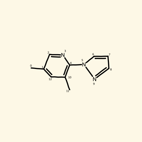 Cc1cnc(-n2cccn2)c(C)c1